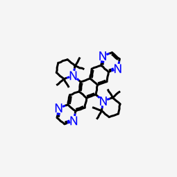 CC1(C)CCCC(C)(C)N1c1c2cc3nccnc3cc2c(N2C(C)(C)CCCC2(C)C)c2cc3nccnc3cc12